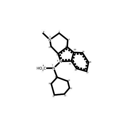 CN1CCc2c(n(N(C(=O)O)C3CCCCC3)c3ccccc23)C1